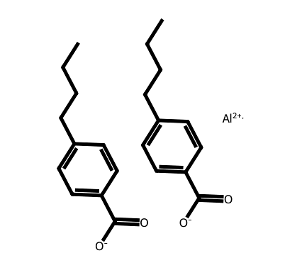 CCCCc1ccc(C(=O)[O-])cc1.CCCCc1ccc(C(=O)[O-])cc1.[Al+2]